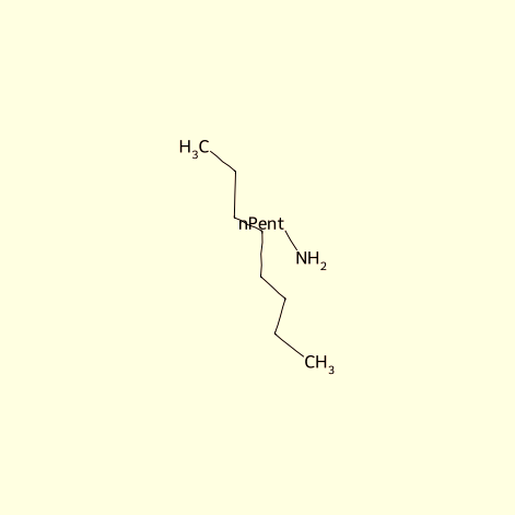 CCCCCCCC.CCCCCN